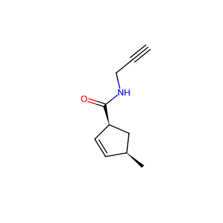 C#CCNC(=O)[C@@H]1C=C[C@H](C)C1